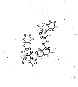 CCCC(CC(=O)[C@@H]1CCCN1C(=O)[C@@H](CC(=O)CC1CCCCC1)C(C)(C)C)C(=O)C(=O)CCC(=O)C[C@H](C(=O)C(C)C)c1ccccc1